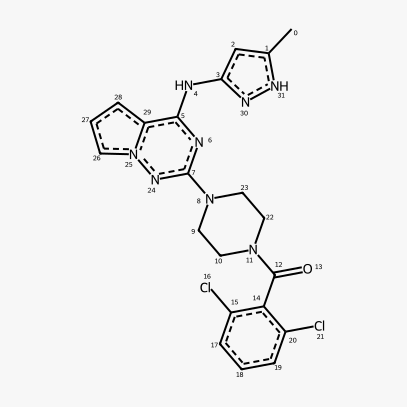 Cc1cc(Nc2nc(N3CCN(C(=O)c4c(Cl)cccc4Cl)CC3)nn3cccc23)n[nH]1